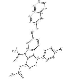 CC(=O)n1c2c(c3ccc(OCc4ccc5ccccc5n4)cc31)C(c1ccc(Cl)cc1)CCC2CC(=O)O